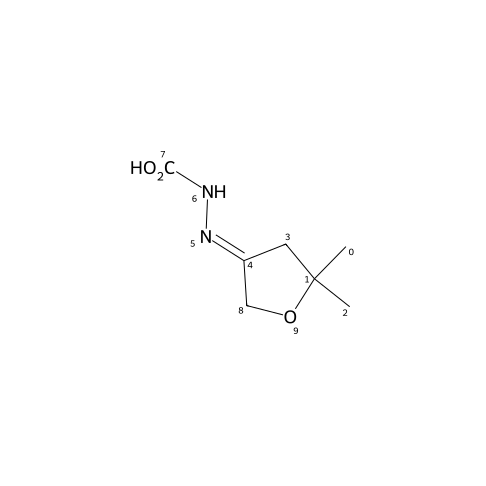 CC1(C)CC(=NNC(=O)O)CO1